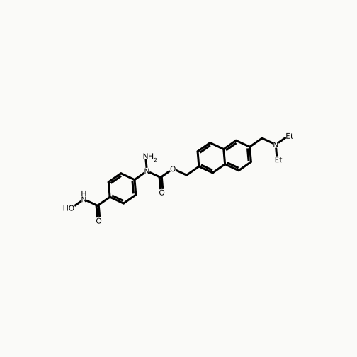 CCN(CC)Cc1ccc2cc(COC(=O)N(N)c3ccc(C(=O)NO)cc3)ccc2c1